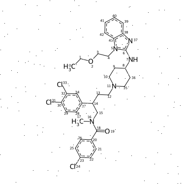 CCOCCn1c(NC2CCN(CCC(CN(C)C(=O)c3ccc(Cl)cc3)c3ccc(Cl)c(Cl)c3)CC2)nc2ccccc21